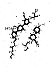 CCC(C)COc1ccc(-c2ccc(O)cc2)cc1C#N.CCCCCCCCc1ccc(C(=O)O)c(-c2ccc(-c3ccc(OCC(C)CC)c(C#N)c3)cc2)c1